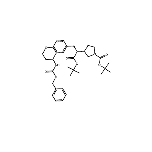 CC(C)(C)OC(=O)[C@@H](Cc1ccc2c(c1)C(NC(=O)OCc1ccccc1)CCO2)[C@H]1CCN(C(=O)OC(C)(C)C)C1